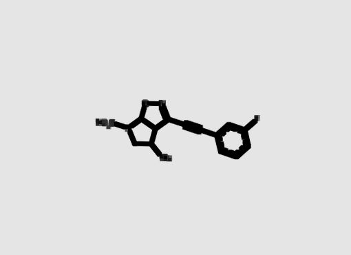 CC(C)(C)C1CN(C(=O)O)C2ON=C(C#Cc3cccc(F)c3)C21